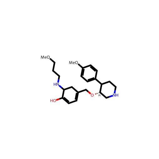 COCCCNC1CC(CO[C@H]2CNCCC2c2ccc(OC)cc2)=CC=C1O